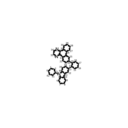 c1ccc(-n2c3ccccc3c3cc(-c4ccccc4-c4ccc5c(c4)c4ccccc4c4nccnc54)ccc32)cc1